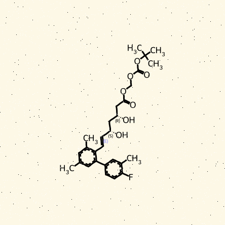 Cc1cc(C)c(/C=C/[C@@H](O)C[C@@H](O)CC(=O)OCOC(=O)OC(C)(C)C)c(-c2ccc(F)c(C)c2)c1